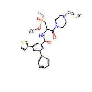 CCOC(=O)N1CCN(C(=O)C(CP(=O)(OCC)OCC)NC(=O)c2cc(-c3ccsc3)cc(-c3ccccc3)n2)CC1